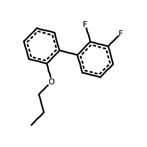 CCCOc1ccccc1-c1cccc(F)c1F